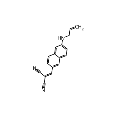 C=CCNc1ccc2cc(C=C(C#N)C#N)ccc2c1